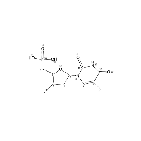 Cc1cn(C2CC(F)C(CP(=O)(O)O)O2)c(=O)[nH]c1=O